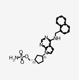 NS(=O)(=O)OC[C@H]1CC[C@H](n2ccc3c(NCc4cccc5ccccc45)ncnc32)C1